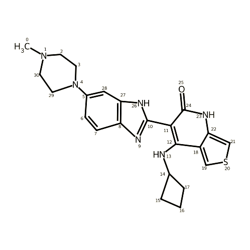 CN1CCN(c2ccc3nc(-c4c(NC5CCC5)c5cscc5[nH]c4=O)[nH]c3c2)CC1